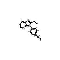 CCc1nc2cccnc2n1-c1ccc(C#N)cc1